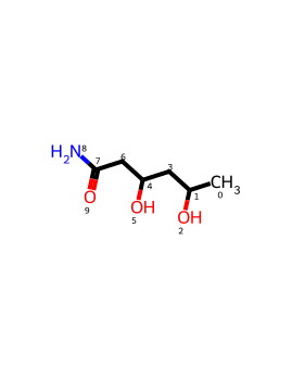 CC(O)CC(O)CC(N)=O